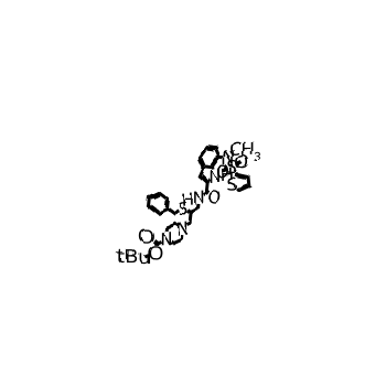 CN(c1cccc2cc(C(=O)NCC(CN3CCN(C(=O)OC(C)(C)C)CC3)SCc3ccccc3)[nH]c12)S(=O)(=O)c1cccs1